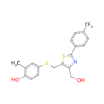 Cc1cc(SCc2sc(-c3ccc(C(F)(F)F)cc3)nc2CO)ccc1O